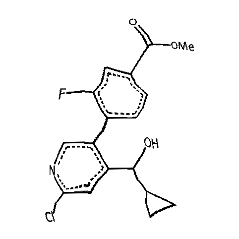 COC(=O)c1ccc(-c2cnc(Cl)cc2C(O)C2CC2)c(F)c1